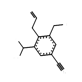 CCc1cc(C#N)cc(C(C)C)c1CC=O